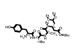 CCOC(C[C@H](CC(=O)OC(C)(C)C)N(C(C)=O)C(=O)[C@H](C)NC(=O)[C@@H](NC(=O)[C@@H](N)Cc1ccc(O)cc1)[C@@H](C)CC)OCC